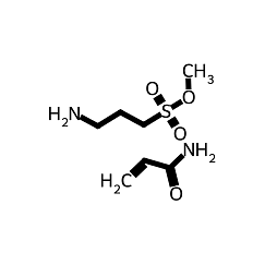 C=CC(N)=O.COS(=O)(=O)CCCN